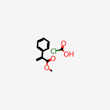 C=C(C(=O)OC)c1ccccc1.O=C(O)Cl